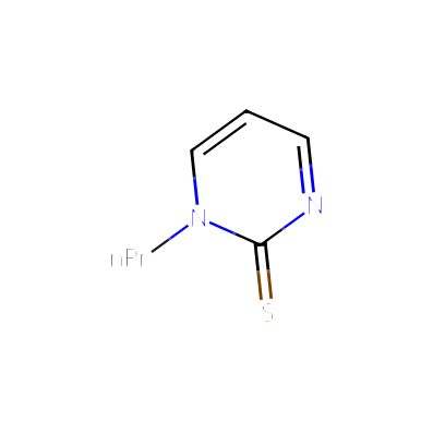 CCCn1cccnc1=S